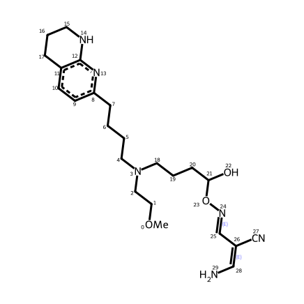 COCCN(CCCCc1ccc2c(n1)NCCC2)CCCC(O)O/N=C/C(C#N)=C\N